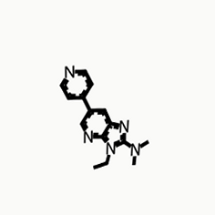 CCn1c(N(C)C)nc2cc(-c3ccncc3)cnc21